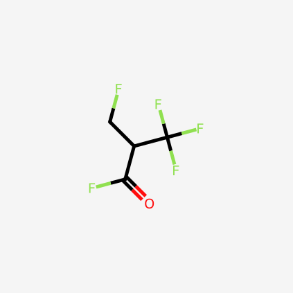 O=C(F)C(CF)C(F)(F)F